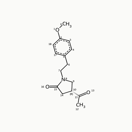 COc1ccc(CCN2C[C@H](C(C)=O)CC2=O)cc1